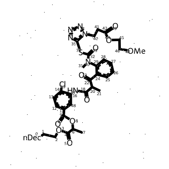 CCCCCCCCCCCCOC(=O)C(C)OC(=O)c1ccc(Cl)c(NC(=O)C(C)C(=O)c2ccccc2N(C)C(=O)Sc2nnnn2CCC(=O)OCCOC)c1